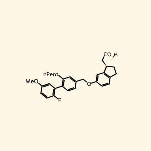 CCCCCc1cc(COc2ccc3c(c2)[C@@H](CC(=O)O)CC3)ccc1-c1cc(OC)ccc1F